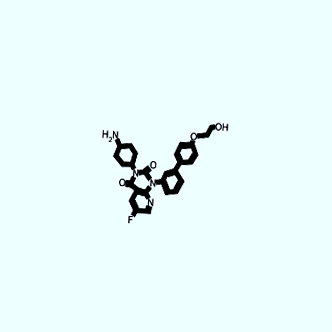 NC1CCC(n2c(=O)c3cc(F)cnc3n(-c3cccc(-c4ccc(OCCO)cc4)c3)c2=O)CC1